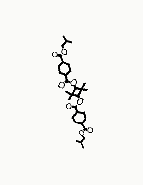 CC(C)COC(=O)C1CCC(C(=O)OC2C(C)(C)C(OC(=O)C3CCC(C(=O)OCC(C)C)CC3)C2(C)C)CC1